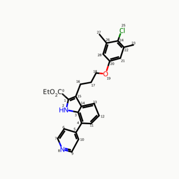 CCOC(=O)c1[nH]c2c(-c3ccncc3)cccc2c1CCCOc1cc(C)c(Cl)c(C)c1